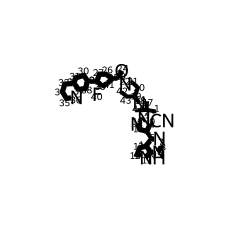 N#CCC1(n2cc(-c3ncnc4[nH]ccc34)cn2)CN(C2CCN(C(=O)c3ccc(-c4ccc5cccnc5c4)c(F)c3)CC2)C1